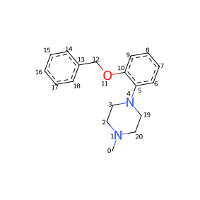 CN1CCN(c2ccc[c]c2OCc2ccccc2)CC1